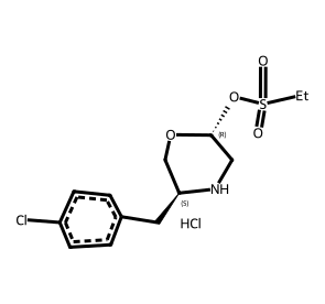 CCS(=O)(=O)O[C@@H]1CN[C@@H](Cc2ccc(Cl)cc2)CO1.Cl